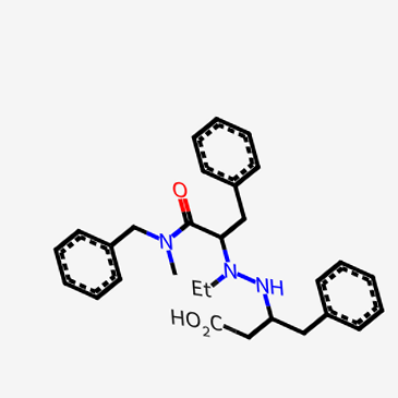 CCN(NC(CC(=O)O)Cc1ccccc1)C(Cc1ccccc1)C(=O)N(C)Cc1ccccc1